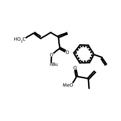 C=C(C)C(=O)OC.C=C(CC=CC(=O)O)C(=O)OCCCC.C=Cc1ccccc1